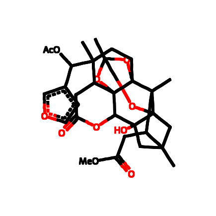 COC(=O)CC1C2(C)CC3(O)C4OC(=O)CC5C(C)(C(OC(C)=O)c6ccoc6)CCC67OC(C)(OC546)OC3(C2)C17C